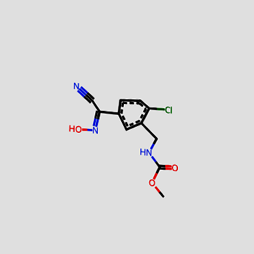 COC(=O)NCc1cc(C(C#N)=NO)ccc1Cl